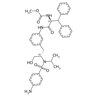 COC(=O)N[C@H](C(=O)Nc1cccc(C[C@@H](CO)N(C(C)C)S(=O)(=O)c2ccc(N)cc2)c1)C(c1ccccc1)c1ccccc1